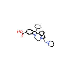 O=C(O)c1ccc2c(C3CCCCC3)c3n(c2c1)CCCn1c(CN2CCCCC2)cc2cccc-3c21